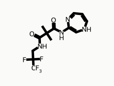 CC(C)(C(=O)NCC(F)(F)C(F)(F)F)C(=O)NC1=CNC=CC=N1